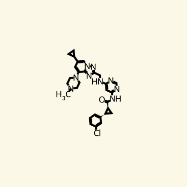 CN1CCN(c2cc(C3CC3)cn3nc(CNc4cc(NC(=O)[C@H]5C[C@@H]5c5cccc(Cl)c5)ncn4)nc23)CC1